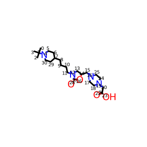 CC(C)(C)N1CCC(CCCCN2CC(CN3CCN(CC(=O)O)CC3)OC2=O)CC1